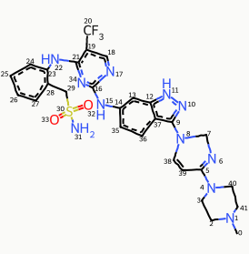 CN1CCN(C2=NCN(c3n[nH]c4cc(Nc5ncc(C(F)(F)F)c(Nc6ccccc6CS(N)(=O)=O)n5)ccc34)C=C2)CC1